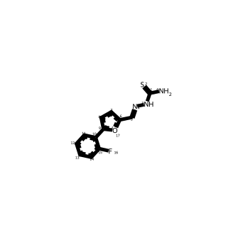 NC(=S)N/N=C/c1ccc(-c2ccccc2F)o1